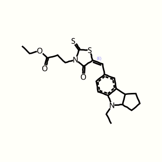 CCOC(=O)CCN1C(=O)/C(=C\c2ccc3c(c2)C2CCCC2N3CC)SC1=S